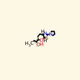 CC[C@H](O)[C@H]1CC[C@H]2N=C(N3CCCC3)S[C@H]2O1